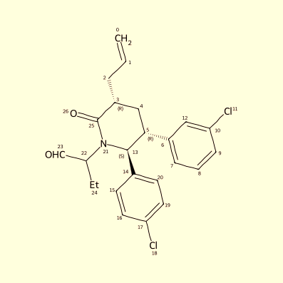 C=CC[C@@H]1C[C@H](c2cccc(Cl)c2)[C@@H](c2ccc(Cl)cc2)N(C(C=O)CC)C1=O